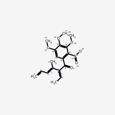 C=C/C=C(C)/C(=C\C)C(=O)c1cc(OC)c(OC)c(OC)c1[N+](=O)[O-]